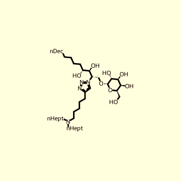 CCCCCCCCCCCCCC[C@@H](O)[C@@H](O)[C@H](CO[C@H]1O[C@H](CO)[C@H](O)[C@H](O)[C@H]1O)n1cc(CCCCCN(CCCCCCC)CCCCCCC)nn1